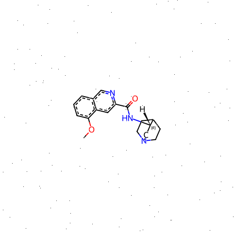 COc1cccc2cnc(C(=O)N[C@H]3CN4CCC3CC4)cc12